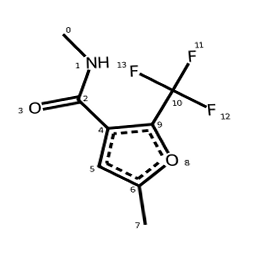 CNC(=O)c1cc(C)oc1C(F)(F)F